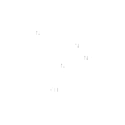 CCn1cnnc1C#N